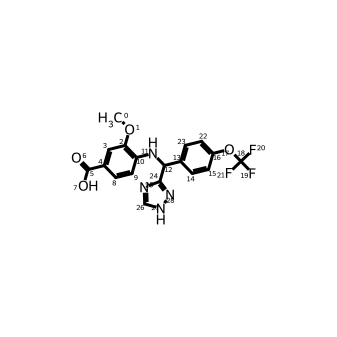 COc1cc(C(=O)O)ccc1NC(c1ccc(OC(F)(F)F)cc1)c1nc[nH]n1